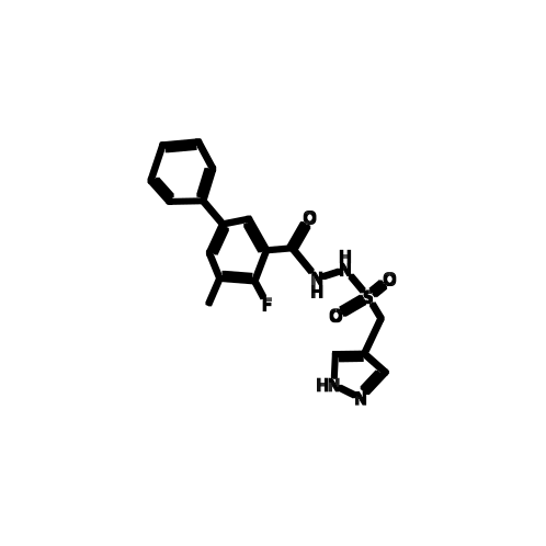 Cc1cc(-c2ccccc2)cc(C(=O)NNS(=O)(=O)Cc2cn[nH]c2)c1F